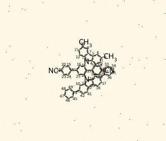 Cc1ccc2c(c1)c1cc(C)ccc1n2-c1cc(-c2ccc(C#N)cc2)cc(-n2c3cc(-c4ccccc4)ccc3c3ccc(-c4ccccc4)cc32)c1-c1ccc(C#N)cc1